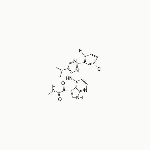 CNC(=O)C(=O)c1c[nH]c2nccc(Nc3nc(-c4cc(Cl)ccc4F)ncc3C(C)C)c12